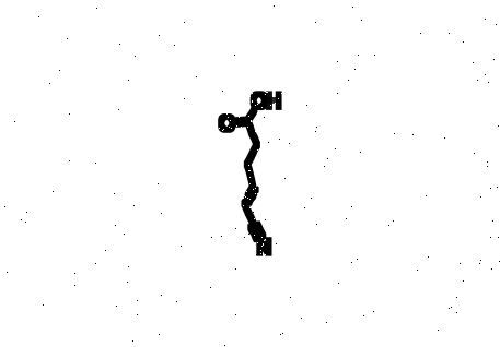 N#CC=CCCC(=O)O